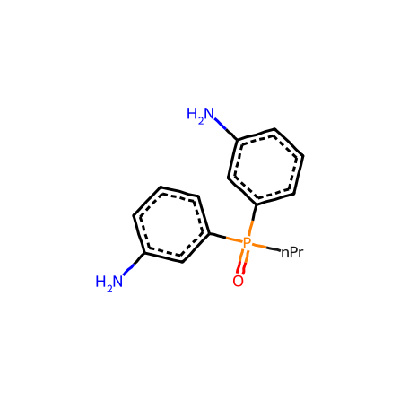 CCCP(=O)(c1cccc(N)c1)c1cccc(N)c1